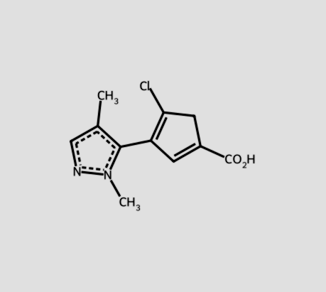 Cc1cnn(C)c1C1=C(Cl)CC(C(=O)O)=C1